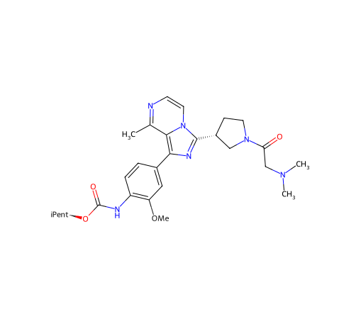 CCC[C@H](C)OC(=O)Nc1ccc(-c2nc([C@@H]3CCN(C(=O)CN(C)C)C3)n3ccnc(C)c23)cc1OC